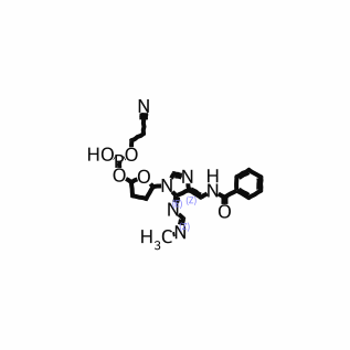 C\N=C/N=C1\C(=C\NC(=O)c2ccccc2)N=CN1C1CCC(OP(O)OCCC#N)O1